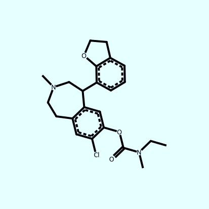 CCN(C)C(=O)Oc1cc2c(cc1Cl)CCN(C)CC2c1cccc2c1OCC2